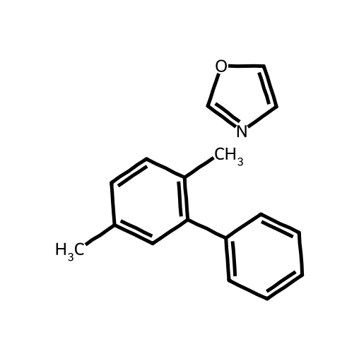 Cc1ccc(C)c(-c2ccccc2)c1.c1cocn1